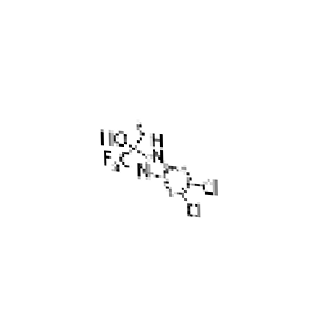 C=C(C)C(O)(c1nc2cc(Cl)c(Cl)cc2[nH]1)C(F)(F)F